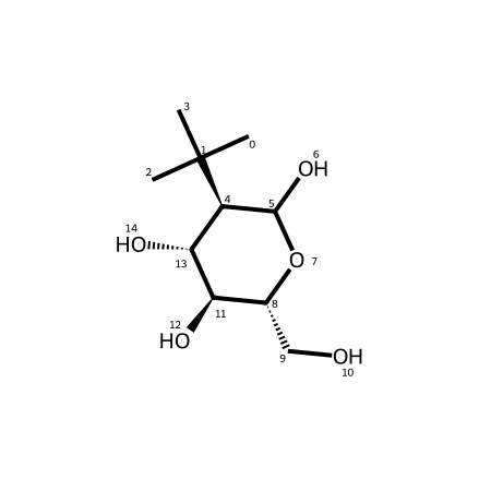 CC(C)(C)[C@H]1C(O)O[C@H](CO)[C@@H](O)[C@@H]1O